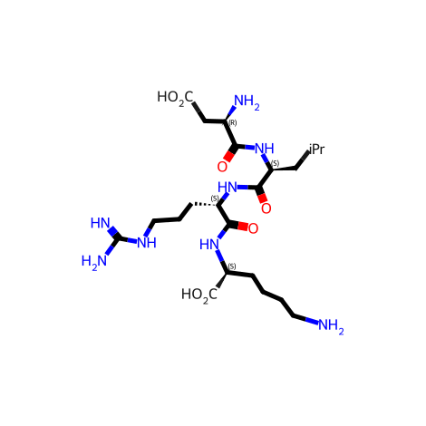 CC(C)C[C@H](NC(=O)[C@H](N)CC(=O)O)C(=O)N[C@@H](CCCNC(=N)N)C(=O)N[C@@H](CCCCN)C(=O)O